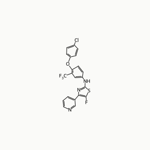 Fc1sc(Nc2ccc(Oc3ccc(Cl)cc3)c(C(F)(F)F)c2)nc1-c1cccnc1